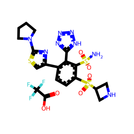 NS(=O)(=O)c1c(S(=O)(=O)C2CNC2)ccc(-c2csc(N3CCCC3)n2)c1-c1nnn[nH]1.O=C(O)C(F)(F)F